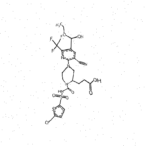 CCOC(O)c1cc(C#N)c(N2CCN(C(=O)NS(=O)(=O)c3ccc(Cl)s3)C(CCC(=O)O)C2)nc1C(F)(F)F